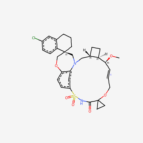 CO[C@H]1/C=C/COC2(CC2)C(=O)NS(=O)(=O)c2ccc3c(c2)N(C[C@@H]2CC[C@H]21)C[C@@]1(CCCc2cc(Cl)ccc21)CO3